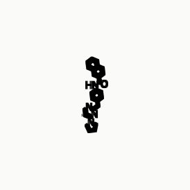 O=C(Nc1ccc(Cc2nc[c]c(N3CCCC3)n2)cc1)c1ccc2ccccc2c1